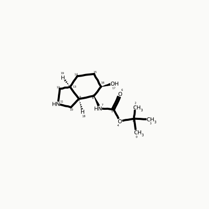 CC(C)(C)OC(=O)N[C@H]1[C@H]2CNC[C@H]2CC[C@H]1O